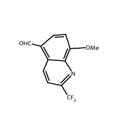 COc1ccc([C]=O)c2ccc(C(F)(F)F)nc12